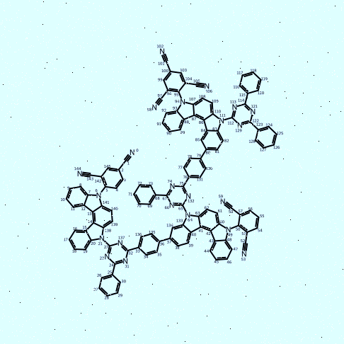 N#Cc1ccc(-n2c3ccccc3c3c4c5ccccc5n(-c5nc(-c6ccccc6)nc(-c6ccc(-c7ccc8c9c%10c%11ccccc%11n(-c%11c(C#N)cccc%11C#N)c%10ccc9n(-c9nc(-c%10ccccc%10)nc(-c%10ccc(-c%11ccc%12c(c%11)c%11c%13c%14ccccc%14n(-c%14c(C#N)cc(C#N)cc%14C#N)c%13ccc%11n%12-c%11nc(-c%12ccccc%12)nc(-c%12ccccc%12)n%11)cc%10)n9)c8c7)cc6)n5)c4ccc32)c(C#N)c1